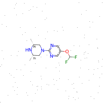 C[C@@H]1CN(c2ncc(OC(F)F)cn2)C[C@H](C)N1